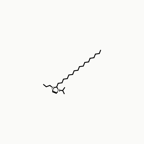 CCCCCCCCCCCCCCCCCC1N(CCC)C=CN1C(C)C